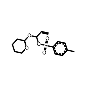 C=CC(OC1CCCCO1)OS(=O)(=O)c1ccc(C)cc1